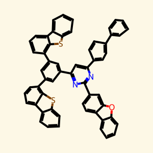 c1ccc(-c2ccc(-c3cc(-c4cc(-c5cccc6c5sc5ccccc56)cc(-c5cccc6c5sc5ccccc56)c4)nc(-c4ccc5c(c4)oc4ccccc45)n3)cc2)cc1